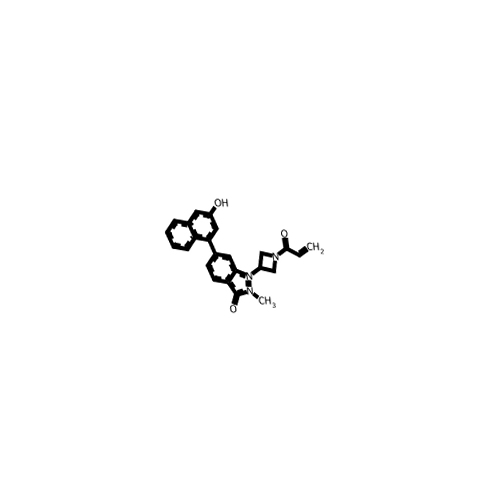 C=CC(=O)N1CC(n2c3cc(-c4cc(O)cc5ccccc45)ccc3c(=O)n2C)C1